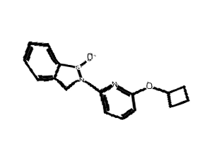 [O-][S+]1c2ccccc2CN1c1cccc(OC2CCC2)n1